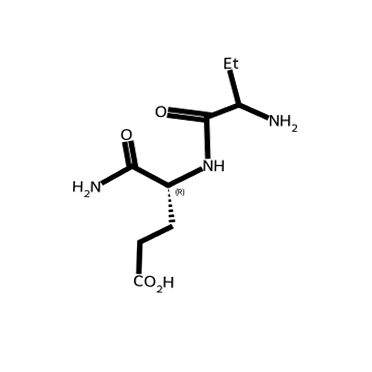 CCC(N)C(=O)N[C@H](CCC(=O)O)C(N)=O